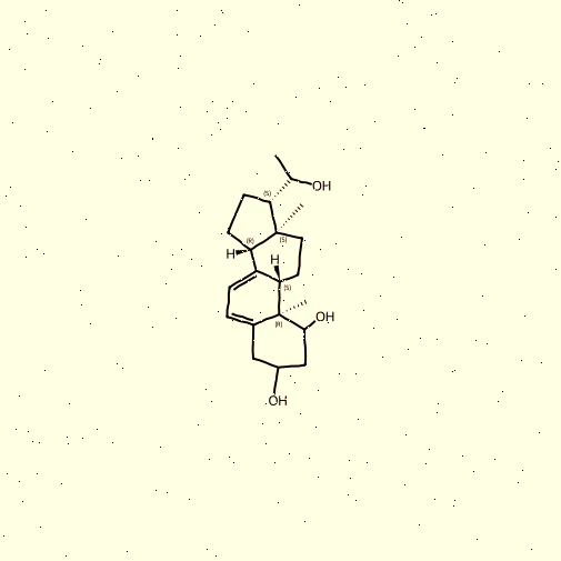 CC(O)[C@H]1CC[C@H]2C3=CC=C4CC(O)CC(O)[C@]4(C)[C@H]3CC[C@]12C